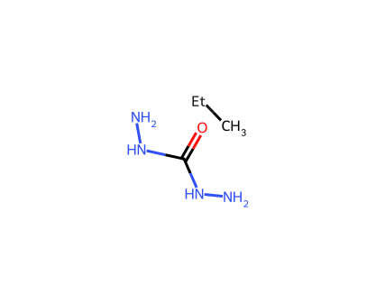 CCC.NNC(=O)NN